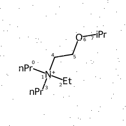 CCC[N+](CC)(CCC)CCOC(C)C